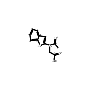 CC(=O)N(CC(=O)O)c1cc2ccccc2s1